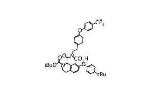 CC(C)COC(=O)N1CCc2ccc(Oc3ccc(C(C)(C)C)cc3)cc2[C@H]1C(=O)N(CCc1ccc(Oc2ccc(C(F)(F)F)cc2)cc1)C(=O)O